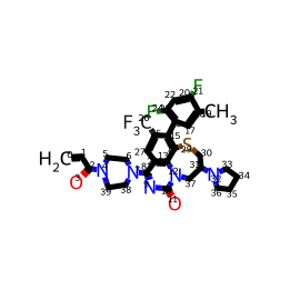 C=CC(=O)N1CCN(c2nc(=O)n3c4c(c(-c5cc(C)c(F)cc5F)c(C(F)(F)F)cc24)SCC(N2CCCC2)C3)CC1